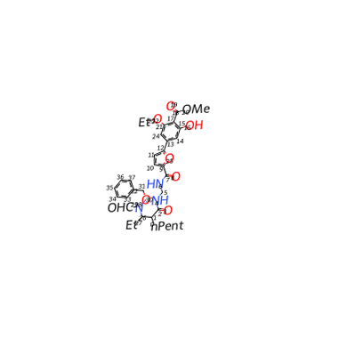 CCCCCC(C(=O)NCNC(=O)c1ccc(-c2cc(O)c(C(=O)OC)c(OCC)c2)o1)[C@@H](CC)N(C=O)OCc1ccccc1